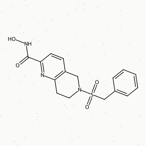 O=C(NO)c1ccc2c(n1)CCN(S(=O)(=O)Cc1ccccc1)C2